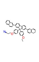 CCOc1ccc(C2(c3ccc(OCCC#N)cc3)c3cc(-c4ccc5c(c4)C=CCC5)ccc3-c3ccc(-c4ccc5ccccc5c4)cc32)cc1